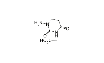 CC(=O)O.NN1CCC(=O)NC1=O